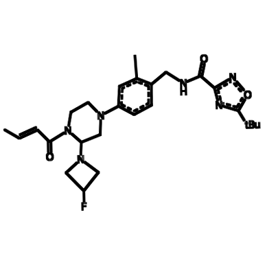 CC=CC(=O)N1CCN(c2ccc(CNC(=O)c3noc(C(C)(C)C)n3)c(C)c2)CC1N1CC(F)C1